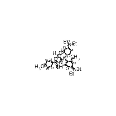 CCN(CC)c1ccc(N(C(=O)NS(=O)(=O)c2ccc(C)cc2)c2ccc(N(CC)CC)cc2C)c(C)c1